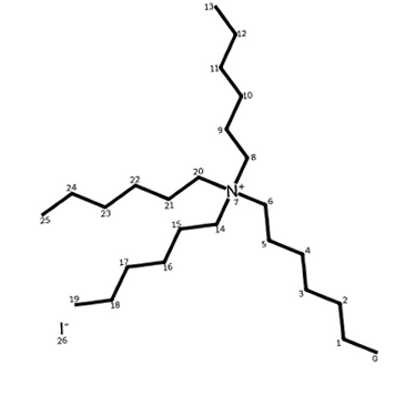 CCCCCCC[N+](CCCCCC)(CCCCCC)CCCCCC.[I-]